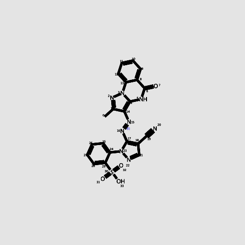 Cc1nn2c([nH]c(=O)c3ccccc32)c1/N=N/c1c(C#N)cnn1-c1ccccc1S(=O)(=O)O